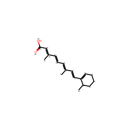 CC(/C=C/C1=CCCCC1C)=C\C=C\C(C)=C\C(=O)O